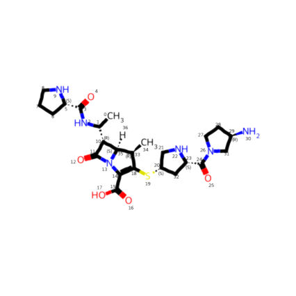 CC(NC(=O)[C@@H]1CCCN1)[C@H]1C(=O)N2C(C(=O)O)=C(S[C@@H]3CN[C@H](C(=O)N4CC[C@@H](N)C4)C3)[C@H](C)[C@H]12